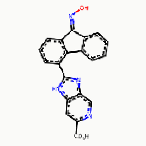 O=C(O)c1cc2[nH]c(-c3cccc4c3-c3ccccc3C4=NO)nc2cn1